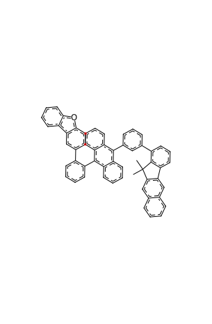 CC1(C)c2cc3ccccc3cc2-c2cccc(-c3cccc(-c4c5ccccc5c(-c5ccccc5-c5ccc6oc7ccccc7c6c5)c5ccccc45)c3)c21